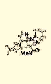 C=C(I)C1CCN(c2ccnc3c2cc(C(=O)NC)c2nc4ccccc4n23)C1